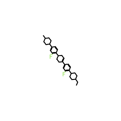 CCC1CCC(c2ccc(C3=CCC(c4ccc(C5CCC(C)CC5)cc4F)CC3)cc2F)CC1